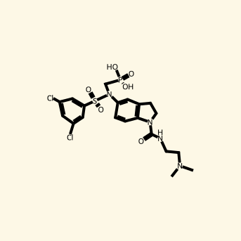 CN(C)CCNC(=O)N1CCc2cc(N(CP(=O)(O)O)S(=O)(=O)c3cc(Cl)cc(Cl)c3)ccc21